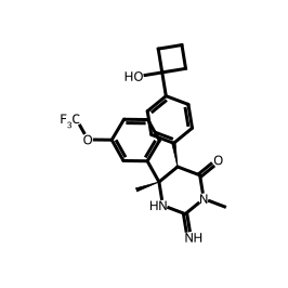 CN1C(=N)N[C@](C)(c2cccc(OC(F)(F)F)c2)[C@@H](c2ccc(C3(O)CCC3)cc2)C1=O